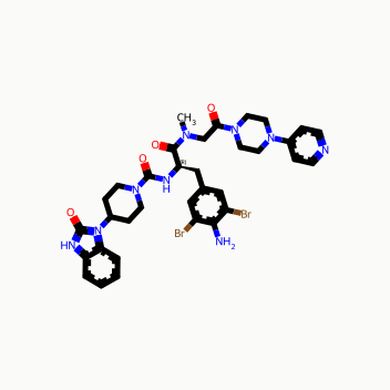 CN(CC(=O)N1CCN(c2ccncc2)CC1)C(=O)[C@@H](Cc1cc(Br)c(N)c(Br)c1)NC(=O)N1CCC(n2c(=O)[nH]c3ccccc32)CC1